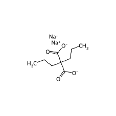 CCCC(CCC)(C(=O)[O-])C(=O)[O-].[Na+].[Na+]